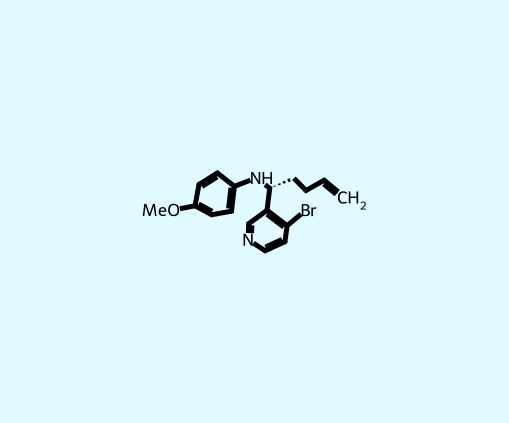 C=CCC[C@@H](Nc1ccc(OC)cc1)c1cnccc1Br